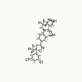 N#Cc1cc(C2=NOC(c3cc(Cl)cc(Cl)c3)(C(F)(F)F)C2)ccc1N(CC(F)(F)F)C(=O)c1cn[nH]c1